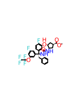 COC(=O)[C@@H]1C[C@@H](O)[C@H](NC(=O)N[C@](Cc2ccccc2)(c2ccc(F)cc2)c2cc(F)cc(OC(F)(F)C(F)F)c2)C1